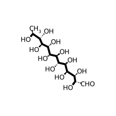 C[C@@H](O)[C@H](O)[C@H](O)[C@H](O)[C@@H](O)[C@@H](O)[C@@H](O)[C@@H](O)[C@H](O)[C@H](O)[C@@H](O)C=O